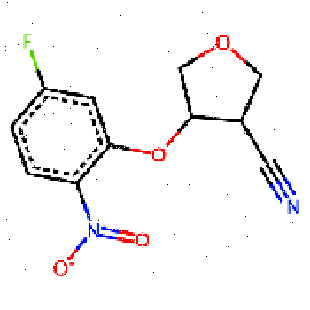 N#CC1COCC1Oc1cc(F)ccc1[N+](=O)[O-]